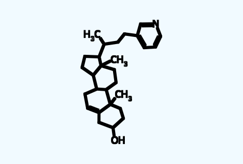 CC(CCc1cccnc1)C1CCC2C3CC=C4CC(O)CCC4(C)C3CCC12C